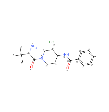 CC(C)(C)[C@H](N)C(=O)N1CCC(NC(=O)c2ccccc2)CC1.Cl